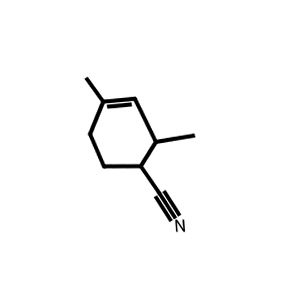 CC1=CC(C)C(C#N)CC1